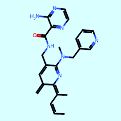 C=c1cc(CNC(=O)c2nccnc2N)c(N(C)Cc2cccnc2)n/c1=C(C)/C=C\C